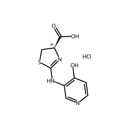 Cl.O=C(O)[C@@H]1CSC(Nc2cnccc2O)=N1